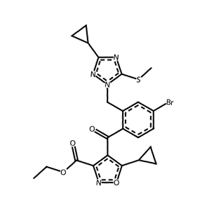 CCOC(=O)c1noc(C2CC2)c1C(=O)c1ccc(Br)cc1Cn1nc(C2CC2)nc1SC